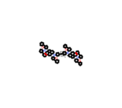 CC(C)(c1ccc(N(c2ccc3ccc4c(N(c5ccccc5-c5ccccc5)c5cccc6c5oc5ccccc56)ccc5ccc2c3c54)c2cccc3c2oc2ccccc23)cc1)c1ccc(N(c2ccc3ccc4c(N(c5ccccc5-c5ccccc5)c5cccc6c5oc5ccccc56)ccc5ccc2c3c54)c2cccc3c2oc2ccccc23)cc1